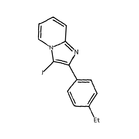 CCc1ccc(-c2nc3ccccn3c2I)cc1